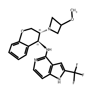 COC1CN([C@H]2COc3ccccc3[C@@H]2Nc2nccc3[nH]c(C(F)(F)F)cc23)C1